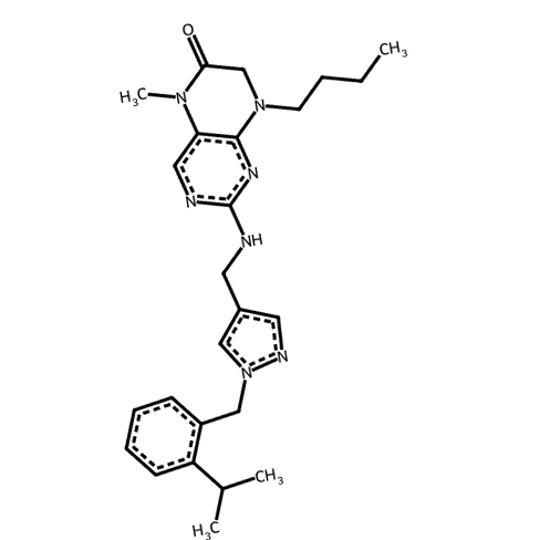 CCCCN1CC(=O)N(C)c2cnc(NCc3cnn(Cc4ccccc4C(C)C)c3)nc21